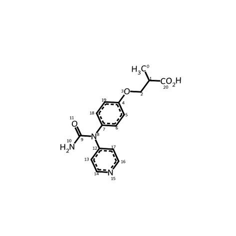 CC(COc1ccc(N(C(N)=O)c2ccncc2)cc1)C(=O)O